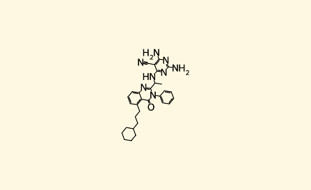 CC(Nc1nc(N)nc(N)c1C#N)c1nc2cccc(CCCC3CCCCC3)c2c(=O)n1-c1ccccc1